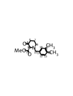 COC(=O)[C@H]1C(=O)CCCN1Cc1ccc(C)c(C)c1